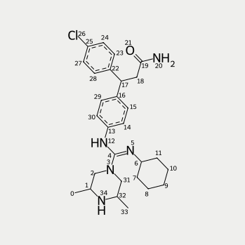 CC1CN(/C(=N\C2CCCCC2)Nc2ccc(C(CC(N)=O)c3ccc(Cl)cc3)cc2)CC(C)N1